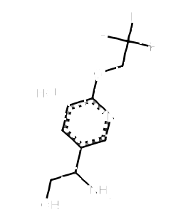 Cl.NC(CO)c1ccc(OCC(F)(F)F)nc1